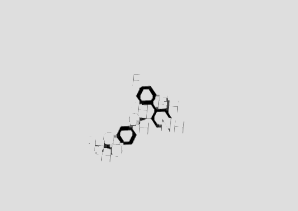 [2H]C1([2H])Oc2ccc(OC([2H])([2H])[C@@H]3CNCC([2H])([2H])C3c3ccc(F)cc3)cc2O1